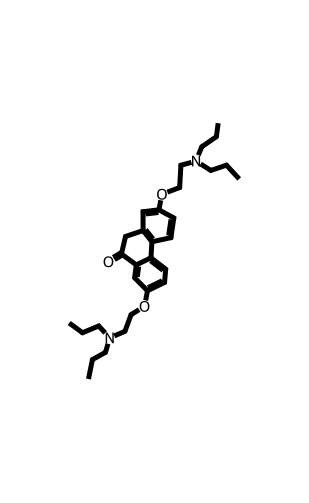 CCCN(CCC)CCOc1ccc2c(c1)CC(=O)c1cc(OCCN(CCC)CCC)ccc1-2